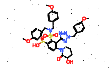 COc1ccc(CN(Cc2ccc(OC)cc2)S(=O)(=O)c2c(S(=O)O)ccc(N3CCCC(O)C3=O)c2-c2nnn(Cc3ccc(OC)cc3)n2)cc1